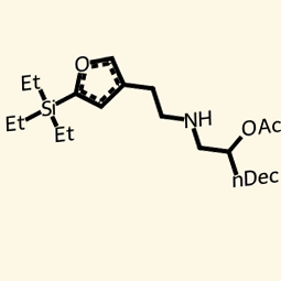 CCCCCCCCCCC(CNCCc1coc([Si](CC)(CC)CC)c1)OC(C)=O